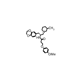 COc1ccc(OCCC(=O)N[C@@H](Cc2ccc3c(c2)OCCO3)CN2CCCC(C)C2)cc1